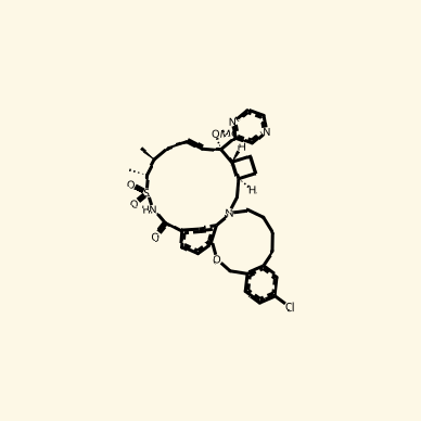 CO[C@@]1(c2cnccn2)/C=C/C[C@H](C)[C@@H](C)S(=O)(=O)NC(=O)c2ccc3c(c2)N(CCCCc2cc(Cl)ccc2CO3)C[C@@H]2CC[C@H]21